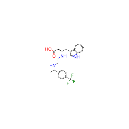 CC(NCCN[C@@H](CC(=O)O)Cc1c[nH]c2ccccc12)c1ccc(C(F)(F)F)cc1